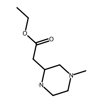 CCOC(=O)CC1CN(C)CC[N]1